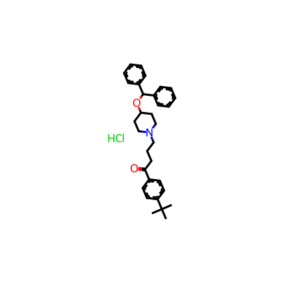 CC(C)(C)c1ccc(C(=O)CCCN2CCC(OC(c3ccccc3)c3ccccc3)CC2)cc1.Cl